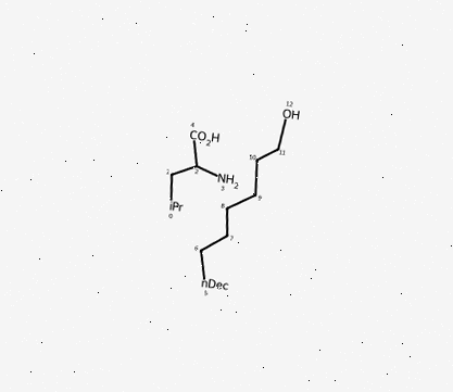 CC(C)CC(N)C(=O)O.CCCCCCCCCCCCCCCCO